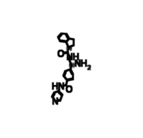 N[C@@H](CNC(=O)[C@@H]1CCc2ccccc21)c1ccc(C(=O)Nc2ccncc2)cc1